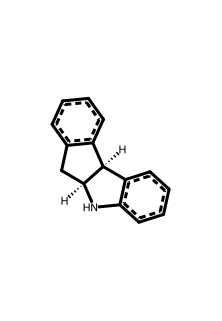 c1ccc2c(c1)C[C@@H]1Nc3ccccc3[C@H]21